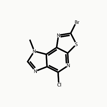 Cn1cnc2c(Cl)nc3sc(Br)nc3c21